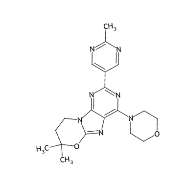 Cc1ncc(-c2nc(N3CCOCC3)c3nc4n(c3n2)CCC(C)(C)O4)cn1